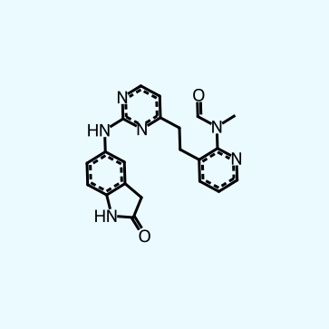 CN(C=O)c1ncccc1CCc1ccnc(Nc2ccc3c(c2)CC(=O)N3)n1